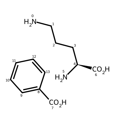 NCCC[C@H](N)C(=O)O.O=C(O)c1ccccc1